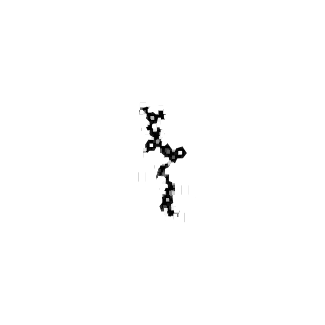 CN(CCCN(C)C(=O)c1ccc2c(c1)CCN2C(=O)O)C(=O)CO[C@H]1Cc2ccccc2C12CCN(CC[C@@]1(c3ccc(F)cc3)CN(C(=O)c3cc(C(F)(F)F)cc(C(F)(F)F)c3)CO1)CC2